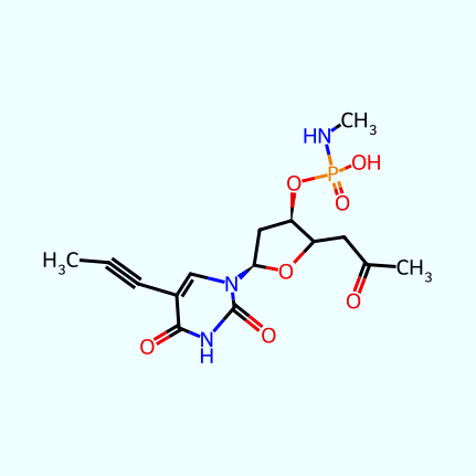 CC#Cc1cn([C@H]2C[C@@H](OP(=O)(O)NC)C(CC(C)=O)O2)c(=O)[nH]c1=O